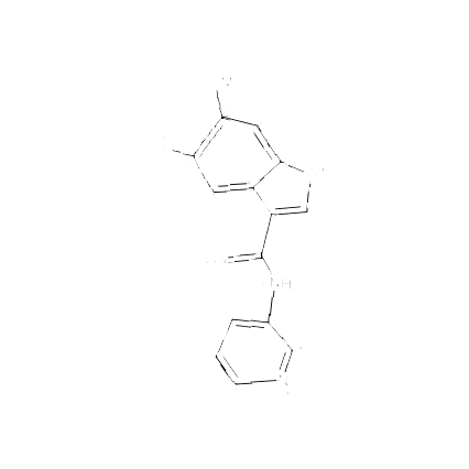 COc1cc2occ(C(=O)Nc3cccnc3)c2cc1C(F)(F)F